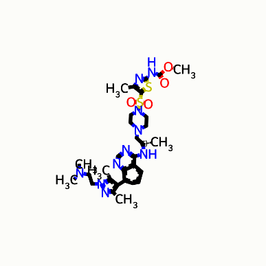 COC(=O)Nc1nc(C)c(S(=O)(=O)N2CCN(C[C@H](C)Nc3ncnc4c(-c5c(C)nn(CCN(C)C)c5C)cccc34)CC2)s1